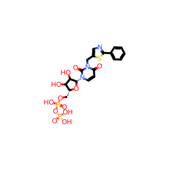 O=c1ccn([C@@H]2O[C@H](COP(=O)(O)OP(=O)(O)O)C(O)C2O)c(=O)n1Cc1cnc(-c2ccccc2)s1